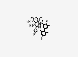 CCOC(=O)C[C@H](NC(=O)C(CC(C)C)N(CC)C(=O)N1CC(F)C1)c1cc(-c2c(C)cc(F)cc2C)cc(C)c1F